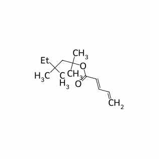 C=CC=CC(=O)OC(C)(C)CC(C)(C)CC